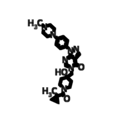 CN1CCN(c2ccc(-n3ncc4c(=O)n(CC5(O)CCN(C(=O)C6(C)CC6)CC5)cnc43)cc2)CC1